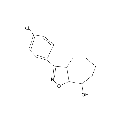 OC1CCCCC2C(c3ccc(Cl)cc3)=NOC12